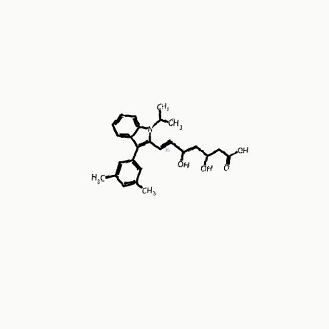 Cc1cc(C)cc(-c2c(/C=C/C(O)CC(O)CC(=O)O)n(C(C)C)c3ccccc23)c1